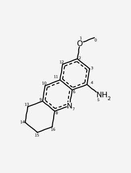 COc1cc(N)c2nc3c(cc2c1)CCCC3